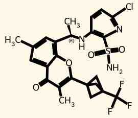 Cc1cc([C@@H](C)Nc2ccc(Cl)nc2S(N)(=O)=O)c2oc(C34CC(C(F)(F)F)(C3)C4)c(C)c(=O)c2c1